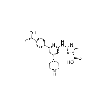 Cc1nc(Nc2nc(-c3ccc(C(=O)O)cc3)cc(N3CCNCC3)n2)sc1C(=O)O